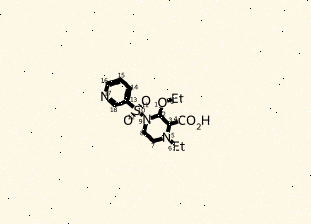 CCOC1C(C(=O)O)N(CC)CCN1S(=O)(=O)c1cccnc1